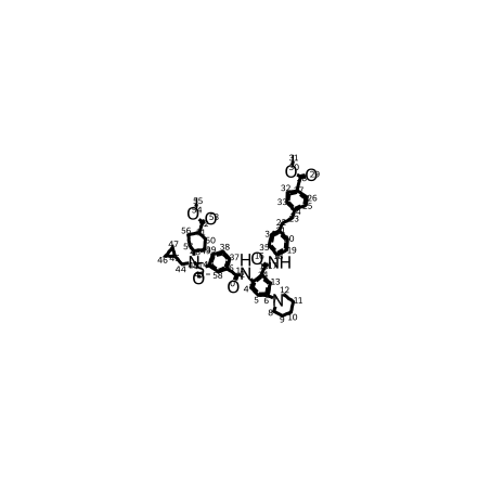 O=C(Nc1ccc(N2CCCCC2)cc1C(=O)Nc1ccc(CCc2ccc(C(=O)OI)cc2)cc1)c1cccc([S+]([O-])N(CC2CC2)C2CCC(C(=O)OI)CC2)c1